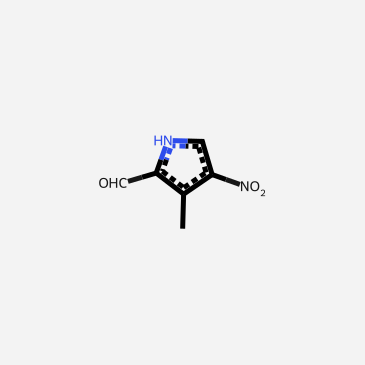 Cc1c([N+](=O)[O-])c[nH]c1C=O